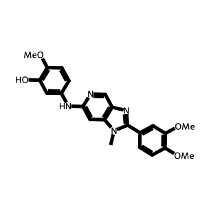 COc1ccc(Nc2cc3c(cn2)nc(-c2ccc(OC)c(OC)c2)n3C)cc1O